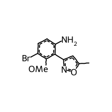 COc1c(Br)ccc(N)c1-c1cc(C)on1